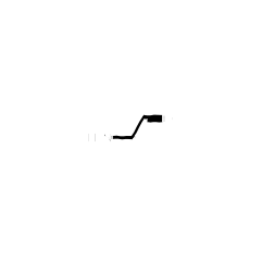 N[CH]C=O